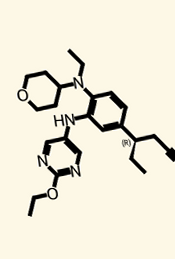 CCOc1ncc(Nc2cc([C@H](CC)CC#N)ccc2N(CC)C2CCOCC2)cn1